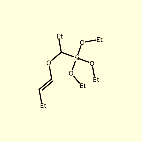 CC/C=C/OC(CC)[Si](OCC)(OCC)OCC